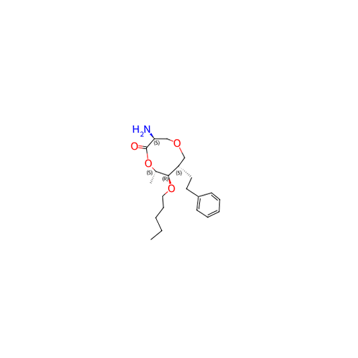 CCCCCO[C@@H]1[C@@H](CCc2ccccc2)COC[C@H](N)C(=O)O[C@H]1C